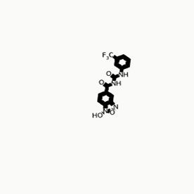 O=C(NC(=O)c1ccc2c(c1)no[n+]2O)Nc1cccc(C(F)(F)F)c1